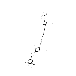 COc1ccc2c(c1)C(=O)NC(c1ccc(OCCCCCCCCCOc3c(OC)cc(C4CC(c5cc(CO)c(CO)c(CO)c5)=NO4)cc3OC)c(CO)c1)N2